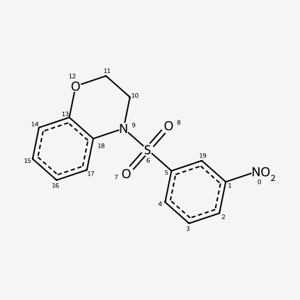 O=[N+]([O-])c1cccc(S(=O)(=O)N2CCOc3ccccc32)c1